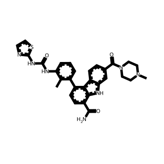 Cc1c(NC(=O)Nc2nccs2)cccc1-c1ccc(C(N)=O)c2[nH]c3cc(C(=O)N4CCN(C)CC4)ccc3c12